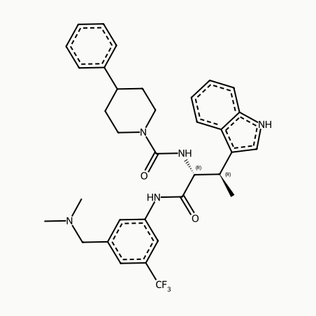 C[C@H](c1c[nH]c2ccccc12)[C@@H](NC(=O)N1CCC(c2ccccc2)CC1)C(=O)Nc1cc(CN(C)C)cc(C(F)(F)F)c1